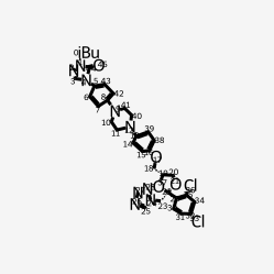 CC[C@@H](C)n1ncn(-c2ccc(N3CCN(c4ccc(OC[C@@H]5CO[C@@](Cn6cnnn6)(c6ccc(Cl)cc6Cl)O5)cc4)CC3)cc2)c1=O